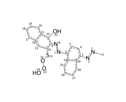 CN=Nc1ccc(N=Nc2c(SOOO)cc3ccccc3c2O)c2ccccc12